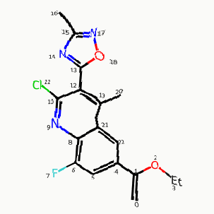 C=C(OCC)c1cc(F)c2nc(Cl)c(-c3nc(C)no3)c(C)c2c1